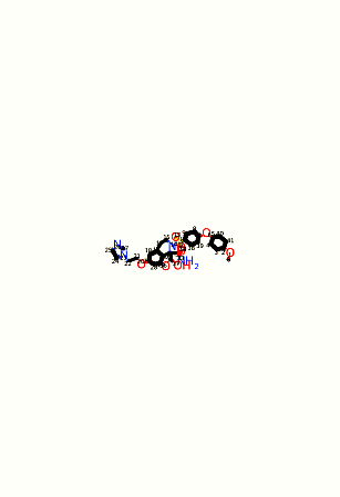 COc1ccc(Oc2ccc(S(=O)(=O)N3CCc4cc(OCCn5ccnc5)ccc4C3(C(N)=O)C(=O)O)cc2)cc1